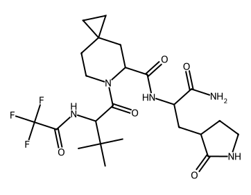 CC(C)(C)C(NC(=O)C(F)(F)F)C(=O)N1CCC2(CC2)CC1C(=O)NC(CC1CCNC1=O)C(N)=O